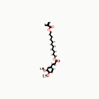 C=C(C)C(=O)OCCCCCCCCCCCOC(=O)C=Cc1ccc(OCC)c(OCC)c1